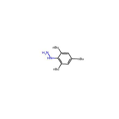 CCCCc1cc(CCCC)c(NN)c(CCCC)c1